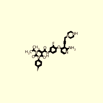 CC(C)n1cc(C(=O)Nc2ccc(Oc3ccnc(N)c3C#CCN3CCNCC3)c(F)c2)c(=O)n(-c2ccc(F)cc2)c1=O